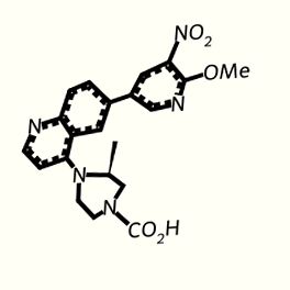 COc1ncc(-c2ccc3nccc(N4CCN(C(=O)O)C[C@@H]4C)c3c2)cc1[N+](=O)[O-]